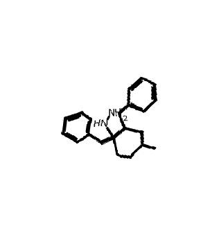 CC1CCC(Cc2ccccc2)(NN)C(Cc2ccccc2)C1